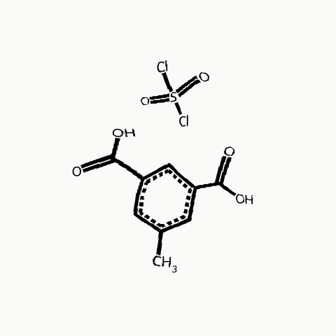 Cc1cc(C(=O)O)cc(C(=O)O)c1.O=S(=O)(Cl)Cl